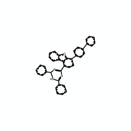 c1ccc(C2=NC(c3ccc(-c4ccc(-c5ccccc5)cc4)c4oc5ccccc5c34)=NC(c3ccccc3)N2)cc1